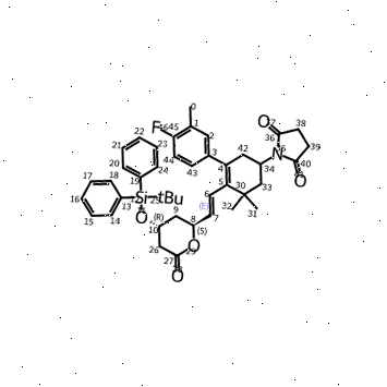 Cc1cc(C2=C(/C=C/[C@@H]3C[C@@H](O[Si](c4ccccc4)(c4ccccc4)C(C)(C)C)CC(=O)O3)C(C)(C)CC(N3C(=O)CCC3=O)C2)ccc1F